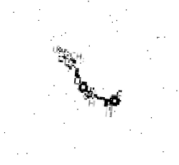 CC1CN(CCCOc2ccc(S(=O)(=O)NCCCc3c[nH]c4ccc(Cl)cc34)cc2)CCN1C(=O)OC(C)(C)C